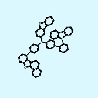 c1ccc(-n2c3ccccc3c3ccccc32)c(-c2ccc(N(c3ccc(-c4cccc5oc6c7ccccc7ccc6c45)cc3)c3ccc4sc5ccccc5c4c3)cc2)c1